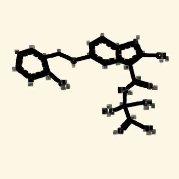 Cc1sc2ccc(OCc3cccnc3C(F)(F)F)cc2c1C(=O)NC(C)(C)C(N)=O